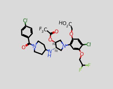 O=C(O)COc1cc(Cl)c(OCC(F)F)cc1N1C[C@H](NC2CCN(C(=O)c3ccc(Cl)cc3)CC2)[C@@H](OC(=O)C(F)(F)F)C1